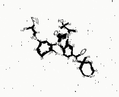 CC(n1c(=O)n(-c2cc(OCC(F)F)ccc2F)c2ccc(C(=O)NC3(C)CCSCC3)cc21)C(C)(C)O